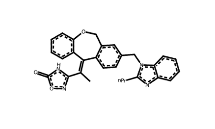 CCCc1nc2ccccc2n1Cc1ccc2c(c1)COc1ccccc1/C2=C(/C)c1noc(=O)[nH]1